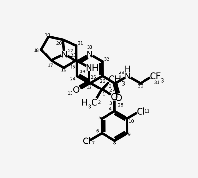 CC(C)(Oc1cc(Cl)ccc1Cl)C(=O)NC1CC2CCC(C1)N2c1ccc(C(=O)NCC(F)(F)F)cn1